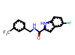 O=C(NCc1cccc(C(F)(F)F)c1)c1cc2cc(F)ccc2[nH]1